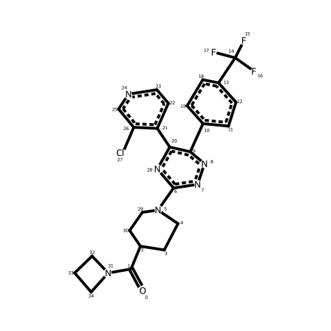 O=C(C1CCN(c2nnc(-c3ccc(C(F)(F)F)cc3)c(-c3ccncc3Cl)n2)CC1)N1CCC1